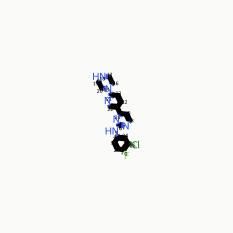 Fc1ccc(Nc2nccc(-c3ccc(N4CCNCC4)nc3)n2)cc1Cl